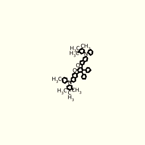 Cc1ccc(N(c2cc(C)c(C)c(C)c2)c2ccc3cc4c(cc3c2)oc2c3oc5cc6cc(N(c7ccccc7)c7cc(C)c(C)c(C)c7)ccc6cc5c3c(-c3ccccc3)c(-c3ccccc3)c42)cc1